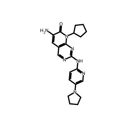 Nc1cc2cnc(Nc3ccc(N4CCCC4)cn3)nc2n(C2CCCC2)c1=O